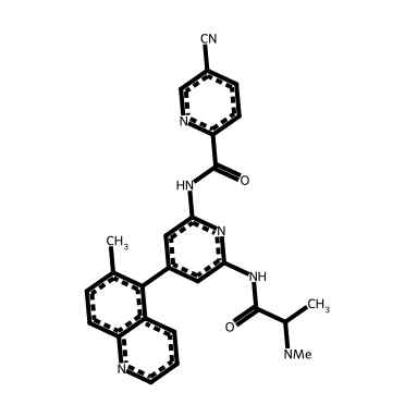 CNC(C)C(=O)Nc1cc(-c2c(C)ccc3ncccc23)cc(NC(=O)c2ccc(C#N)cn2)n1